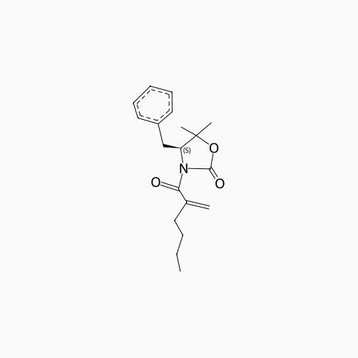 C=C(CCCC)C(=O)N1C(=O)OC(C)(C)[C@@H]1Cc1ccccc1